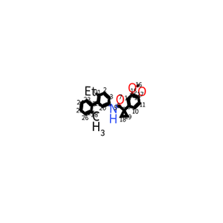 CCc1ccc(NC(=O)C2(c3ccc4c(c3)OCO4)CC2)cc1-c1ccccc1C